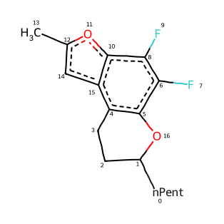 CCCCCC1CCc2c(c(F)c(F)c3oc(C)cc23)O1